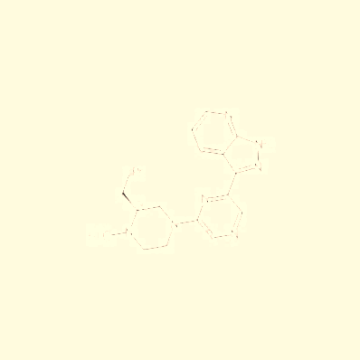 CC(C)C[C@H]1CN(c2cncc(-c3n[nH]c4ncccc34)n2)CCN1C